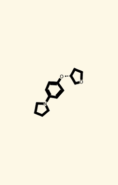 c1cc(N2CCCC2)ccc1O[C@@H]1CCOC1